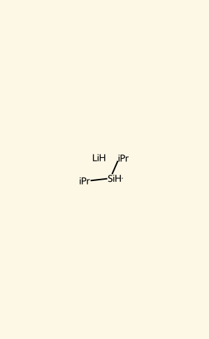 CC(C)[SiH]C(C)C.[LiH]